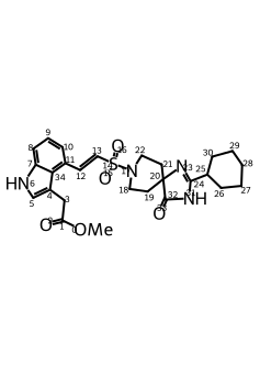 COC(=O)Cc1c[nH]c2cccc(/C=C/S(=O)(=O)N3CCC4(CC3)N=C(C3CCCCC3)NC4=O)c12